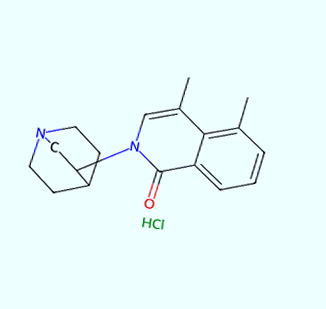 Cc1cccc2c(=O)n(C3CN4CCC3CC4)cc(C)c12.Cl